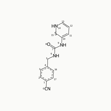 N#Cc1ccc(CNC(=O)NC2=CC=CNS2)cc1